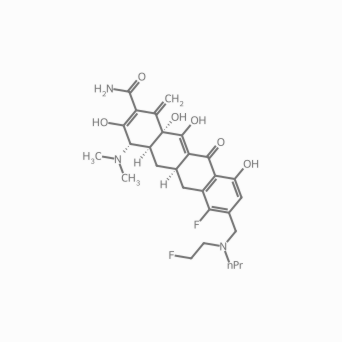 C=C1C(C(N)=O)=C(O)[C@@H](N(C)C)[C@@H]2C[C@@H]3Cc4c(F)c(CN(CCC)CCF)cc(O)c4C(=O)C3=C(O)[C@]12O